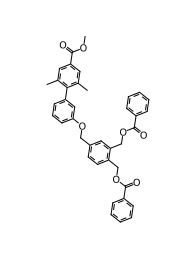 COC(=O)c1cc(C)c(-c2cccc(OCc3ccc(COC(=O)c4ccccc4)c(COC(=O)c4ccccc4)c3)c2)c(C)c1